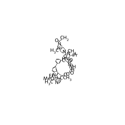 C=CC(=O)N1CN(C)C2(CCN(C(=O)N(C)[C@H](C(=O)N[C@H]3Cc4cccc(c4)-c4ccc5c(c4)c(c(-c4cccnc4[C@H](C)OC)n5CC)CC(C)(C)COC(=O)[C@@H]4CCCN(N4)C3=O)C(C)C)CC2)C1